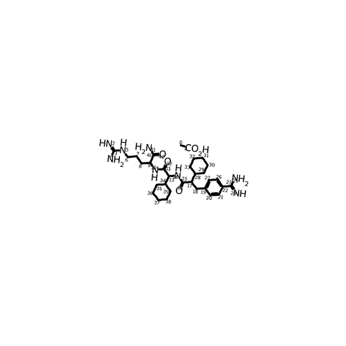 CC(=O)O.N=C(N)NCCCC(NC(=O)C(NC(=O)C(Cc1ccc(C(=N)N)cc1)C1CCCCC1)C1CCCCC1)C(N)=O